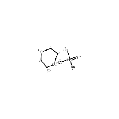 C1COCCO1.OP(O)(O)=S.[Mo]